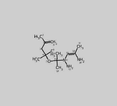 C=C(C)CC(C)(C)OC(C)(C)N(N)/C=C(/C)N